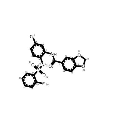 O=C(Nc1cc(Cl)ccc1NS(=O)(=O)c1ccccc1F)c1ccc2c(c1)OCO2